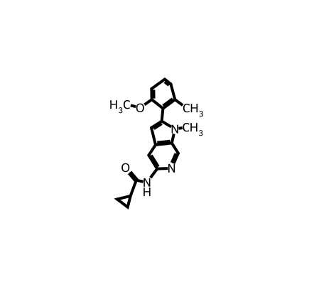 COc1cccc(C)c1-c1cc2cc(NC(=O)C3CC3)ncc2n1C